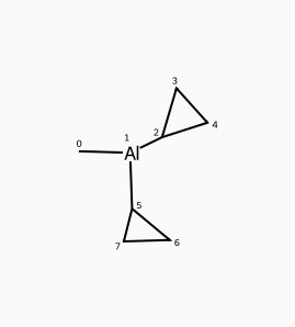 [CH3][Al]([CH]1CC1)[CH]1CC1